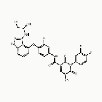 CC(CO)Nc1n[nH]c2nccc(Oc3ccc(NC(=O)c4cn(C(C)C)c(=O)n(-c5ccc(F)c(F)c5)c4=O)cc3F)c12